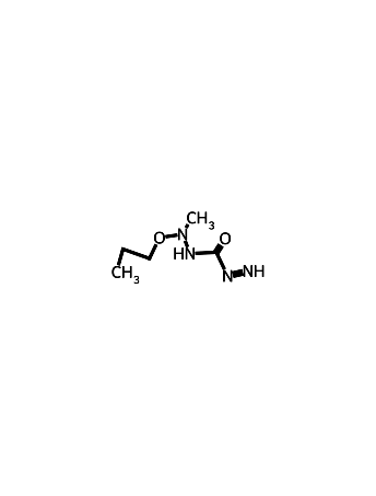 CCCON(C)NC(=O)N=N